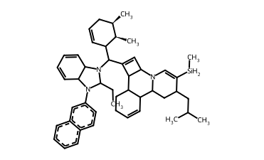 CCC1N(c2ccc3ccccc3c2)C2C=CC=CC2N1C(C1=CC2C1C1CCC=CC1C1CC(CC(C)C)C([SiH2]C)=CN21)C1C=CC[C@@H](C)[C@H]1C